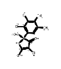 CCCCCCCC[N+]1(c2cc(C)c(C)c(Cl)c2Cl)SC(Cl)=C(Cl)C1=O